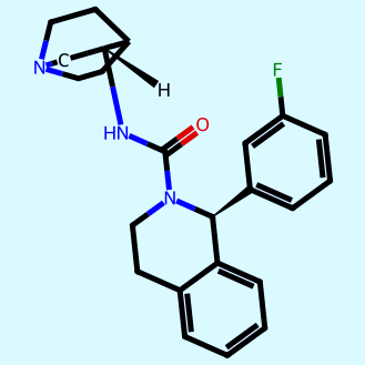 O=C(N[C@@H]1CN2CCC1CC2)N1CCc2ccccc2[C@@H]1c1cccc(F)c1